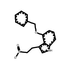 O=[N+]([O-])CCc1c[nH]c2cccc(OCc3ccccc3)c12